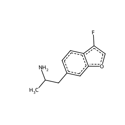 CC(N)Cc1ccc2c(F)coc2c1